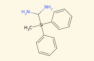 C[Si](c1ccccc1)(c1ccccc1)C(N)N